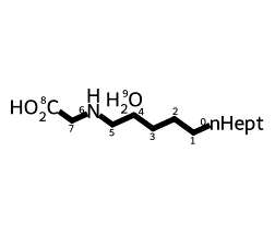 CCCCCCCCCCCCNCC(=O)O.O